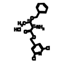 C[C@@H](OCc1ccccc1)[C@H](N)C(=O)OCc1cc(Cl)nc(Cl)c1.Cl